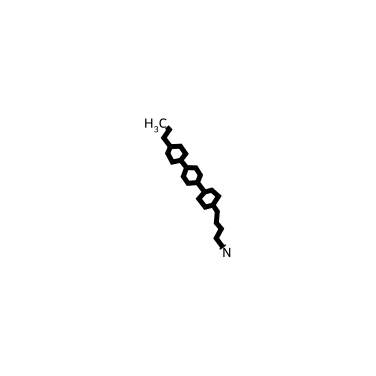 CCCC1CCC(C2CCC(C3CCC(CCCCC#N)CC3)CC2)CC1